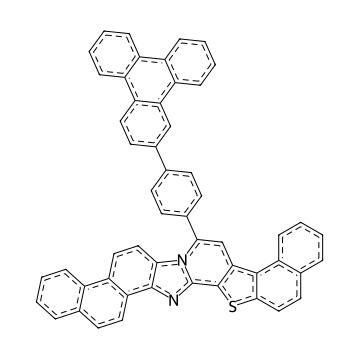 c1ccc2c(c1)ccc1c2ccc2c1nc1c3sc4ccc5ccccc5c4c3cc(-c3ccc(-c4ccc5c6ccccc6c6ccccc6c5c4)cc3)n21